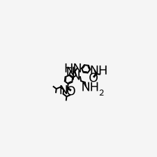 CC(=O)Nc1ccc(Nc2nc3ccc(C(=O)N(CC(C)C)CC(C)C)cc3n2CCCN)cc1